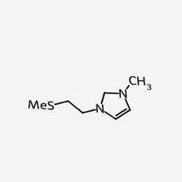 CSCCN1C=CN(C)C1